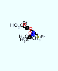 CCCSCCCN(CCOc1ccc(CC(OCC)C(=O)O)cc1)C(=O)Nc1cc(C)c(C)cc1C